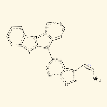 N/C=C\c1coc2ccc(-n3c4ccccc4n4c5ccccc5nc34)cc12